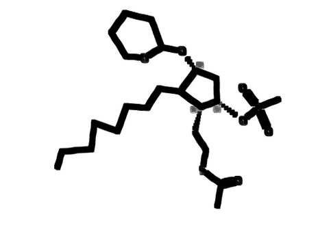 CCCCCCCCC1[C@@H](CCSC(C)=O)[C@@H](OS(C)(=O)=O)C[C@H]1OC1CCCCO1